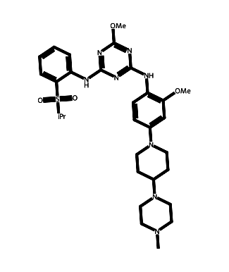 COc1nc(Nc2ccc(N3CCC(N4CCN(C)CC4)CC3)cc2OC)nc(Nc2ccccc2S(=O)(=O)C(C)C)n1